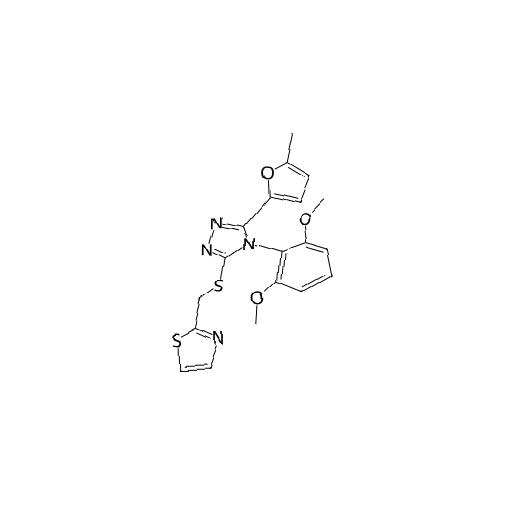 COc1cccc(OC)c1-n1c(SCc2nccs2)nnc1-c1ccc(C)o1